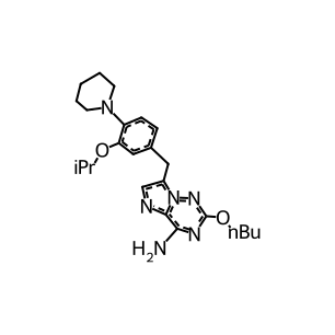 CCCCOc1nc(N)c2ncc(Cc3ccc(N4CCCCC4)c(OC(C)C)c3)n2n1